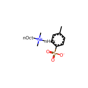 CCCCCCCC[N+](C)(C)CCCCCC.Cc1ccc(S(=O)(=O)[O-])cc1